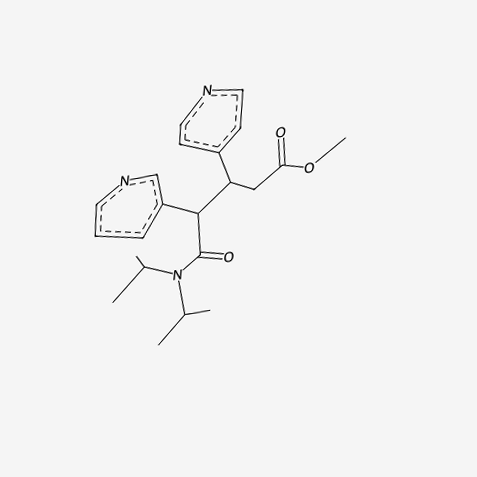 COC(=O)CC(c1ccncc1)C(C(=O)N(C(C)C)C(C)C)c1cccnc1